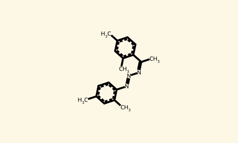 CC(=NN=Nc1ccc(C)cc1C)c1ccc(C)cc1C